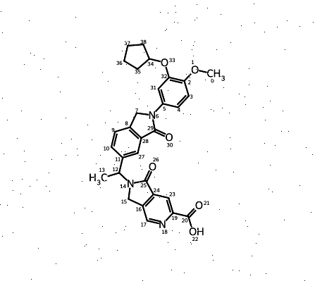 COc1ccc(N2Cc3ccc(C(C)N4Cc5cnc(C(=O)O)cc5C4=O)cc3C2=O)cc1OC1CCCC1